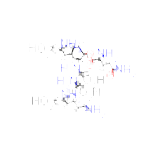 C[C@H](N)C(=O)O.C[C@H](N)C(=O)O.NC(=O)CC[C@H](N)C(=O)Oc1ccc(C[C@H](N)C(=O)O)cc1.NCCCC[C@H](N)C(=O)O